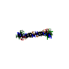 O=C(c1nc2cc3cc4sc(-c5nc6cc7cc8sc(C(=O)c9c(F)c(F)nc(F)c9F)nc8cc7cc6s5)nc4cc3cc2s1)c1c(F)c(F)nc(F)c1F